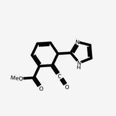 COC(=O)C1=CC=CC(c2ncc[nH]2)C1=C=O